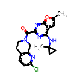 Cc1cc2c(NC3(C)CC3)nc(C(=O)N3CCc4ccc(Cl)nc4C3)nc2o1